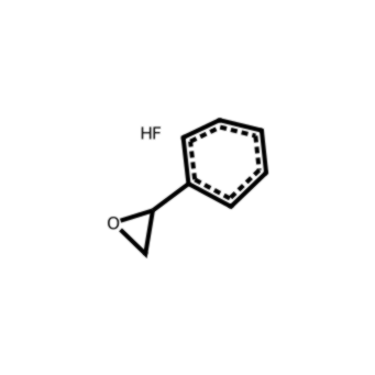 F.c1ccc(C2CO2)cc1